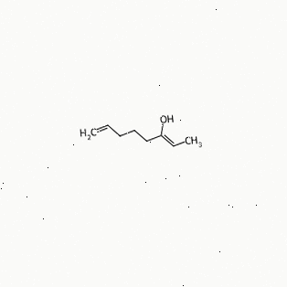 C=CCCCC(O)=CC